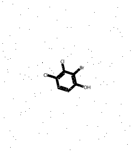 Oc1ccc(Cl)c(Cl)c1Br